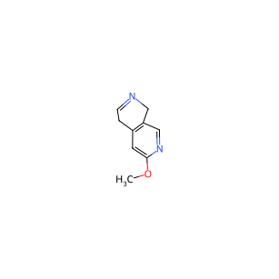 COc1cc2c(cn1)CN=CC2